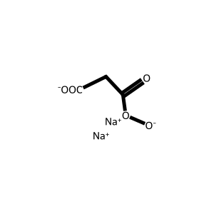 O=C([O-])CC(=O)O[O-].[Na+].[Na+]